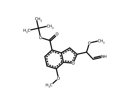 COc1ccc(C(=O)OC(C)(C)C)c2cc(C(C=N)OC)oc12